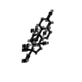 C#C[C@@]1(O)CC[C@H]2[C@@H]3CCC4=CC(=O)CC[C@]4(C)[C@@]3(O)CC[C@@]21C